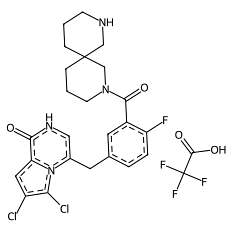 O=C(O)C(F)(F)F.O=C(c1cc(Cc2c[nH]c(=O)c3cc(Cl)c(Cl)n23)ccc1F)N1CCCC2(CCCNC2)C1